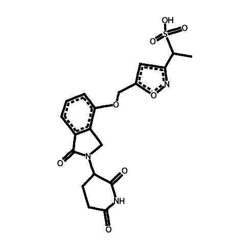 CC(c1cc(COc2cccc3c2CN(C2CCC(=O)NC2=O)C3=O)on1)S(=O)(=O)O